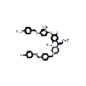 Br.Cc1ccc(COc2ccc(Oc3cc(C)c(/C(=C\C=O)N4CCN(Cc5ccc(COc6ccc(C(C)C)cc6)cc5)CC4)cc3Cl)nc2)cc1